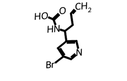 C=CCC(NC(=O)O)c1cncc(Br)c1